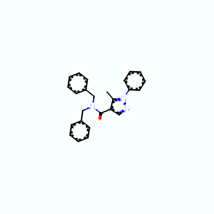 Cc1c(C(=O)N(Cc2ccccc2)Cc2ccccc2)cnn1-c1ccccc1